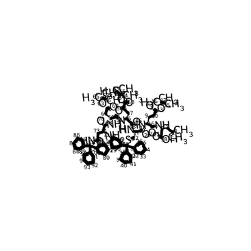 CC(C)C[C@H](NC(=O)[C@H](CCC(=O)OC(C)(C)C)NC(=O)[C@H](CSC(c1ccccc1)(c1ccccc1)c1ccccc1)NC(=O)[C@H](CCC(=O)OC(C)(C)C)NC(=O)[C@H](CC(=O)OC(C)(C)C)NC(=O)[C@@H](N)CC(=O)NC(c1ccccc1)(c1ccccc1)c1ccccc1)C(=O)O